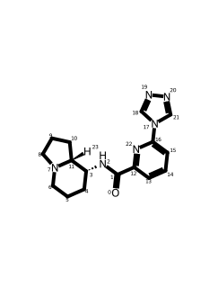 O=C(N[C@@H]1CCCN2CCC[C@H]12)c1cccc(-n2cnnc2)n1